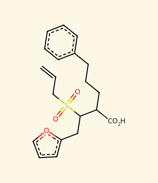 C=CCS(=O)(=O)C(Cc1ccco1)C(CCCc1ccccc1)C(=O)O